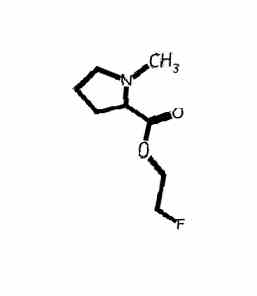 CN1CCCC1C(=O)OCCF